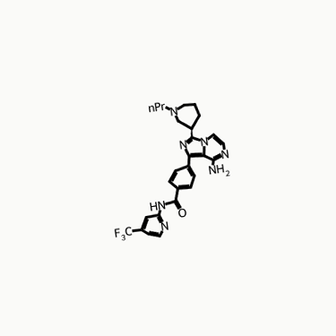 CCCN1CCC[C@@H](c2nc(-c3ccc(C(=O)Nc4cc(C(F)(F)F)ccn4)cc3)c3c(N)nccn23)C1